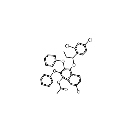 CCC(Oc1c(Oc2ccccc2)c(Oc2ccccc2)c(OC(C)=O)c2cc(Cl)ccc12)c1ccc(Cl)cc1Cl